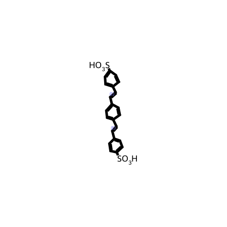 O=S(=O)(O)c1ccc(/C=C/c2ccc(/C=C/c3ccc(S(=O)(=O)O)cc3)cc2)cc1